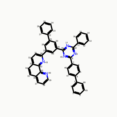 c1ccc(-c2ccc(-c3nc(-c4ccccc4)nc(-c4cc(-c5ccccc5)cc(-c5ccc6ccc7cccnc7c6n5)c4)n3)cc2)cc1